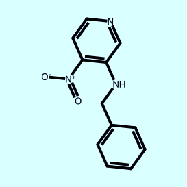 O=[N+]([O-])c1ccncc1NCc1ccccc1